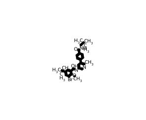 COc1c(Br)cc(C(C)(C)C)cc1C(=O)Nc1cnc(C)c(-c2ccc(C(=O)NCC(C)(C)C)cc2)c1